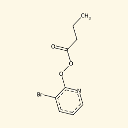 CCCC(=O)OOc1ncccc1Br